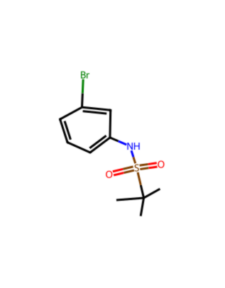 CC(C)(C)S(=O)(=O)Nc1cccc(Br)c1